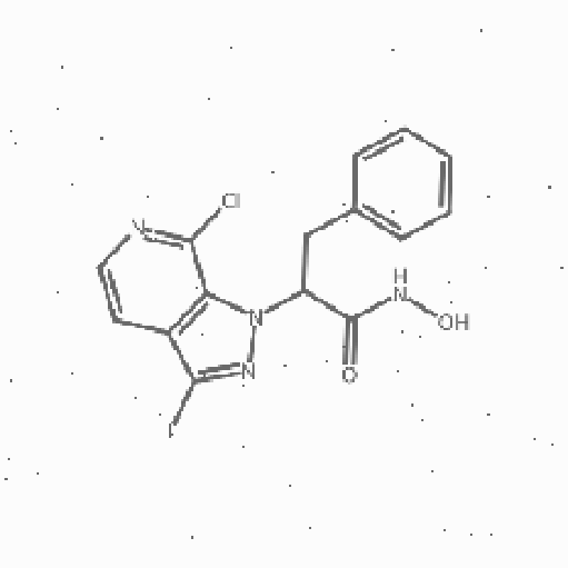 O=C(NO)C(Cc1ccccc1)n1nc(I)c2ccnc(Cl)c21